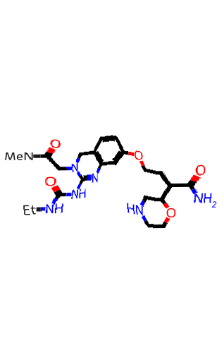 CCNC(=O)NC1=Nc2cc(OCCC(C(N)=O)C3CNCCO3)ccc2CN1CC(=O)NC